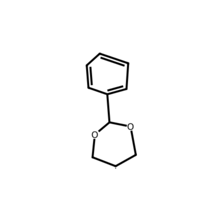 [CH]1COC(c2ccccc2)OC1